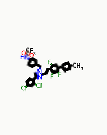 Cc1ccc(-c2cc(F)c(C=Cc3nc(-c4ccc(Cl)cc4Cl)cn3Cc3ccc(NS(=O)(=O)C(F)(F)F)cc3)c(F)c2F)cc1